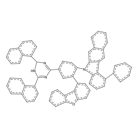 c1ccc(-c2cccc3c2c2cc4ccccc4cc2n3-c2ccc(C3=NC(c4cccc5ccccc45)NC(c4cccc5ccccc45)=N3)cc2-c2cccc3oc4ccccc4c23)cc1